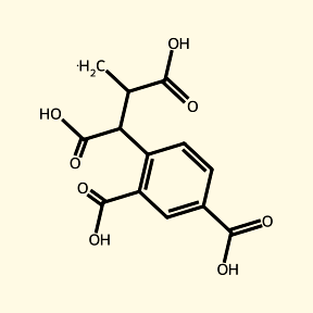 [CH2]C(C(=O)O)C(C(=O)O)c1ccc(C(=O)O)cc1C(=O)O